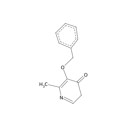 CC1=C(OCc2ccccc2)C(=O)CC=N1